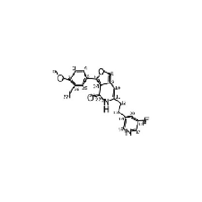 COc1ccc(-c2occ3cc(CCc4cncc(F)c4)[nH]c(=O)c23)cc1I